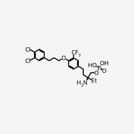 CC[C@@](N)(CCc1ccc(OCCCc2ccc(Cl)c(Cl)c2)c(C(F)(F)F)c1)COP(=O)(O)O